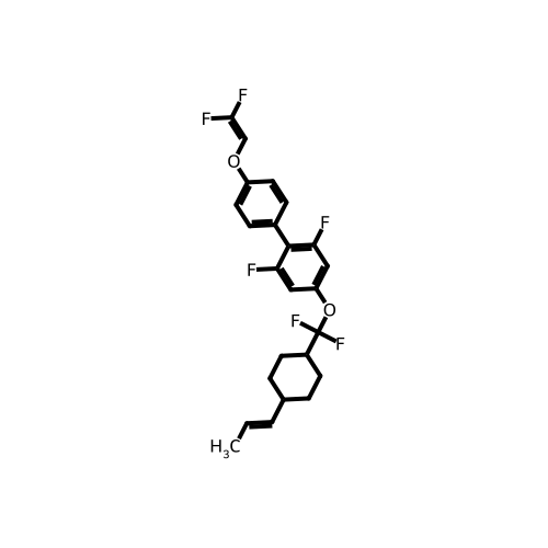 C/C=C/C1CCC(C(F)(F)Oc2cc(F)c(-c3ccc(OC=C(F)F)cc3)c(F)c2)CC1